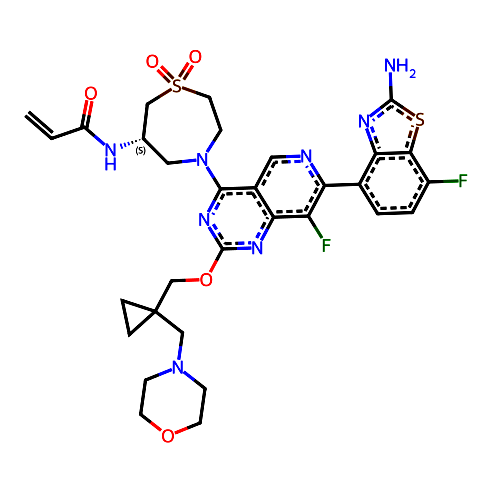 C=CC(=O)N[C@H]1CN(c2nc(OCC3(CN4CCOCC4)CC3)nc3c(F)c(-c4ccc(F)c5sc(N)nc45)ncc23)CCS(=O)(=O)C1